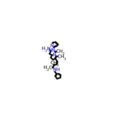 C=C(/C=C\C1=C(C)N(C(=C)Nc2ccccn2)C(CCN)CC1)C(=C)NCC1=CCCC=C1